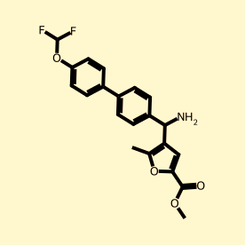 COC(=O)c1cc(C(N)c2ccc(-c3ccc(OC(F)F)cc3)cc2)c(C)o1